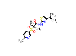 C=C(C)c1csc(NC(=O)C(C)(C)S(=O)(=O)c2ccc(C(F)(F)F)nc2)n1